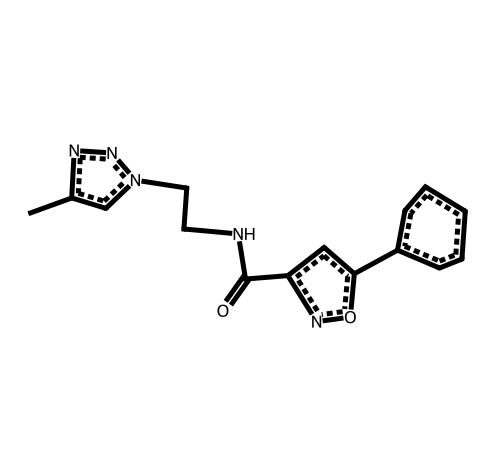 Cc1cn(CCNC(=O)c2cc(-c3ccccc3)on2)nn1